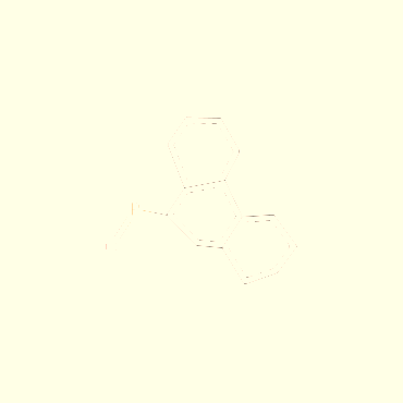 O=Pc1cc2ccccc2c2ccccc12